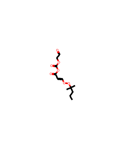 CCCC(C)(C)OOC=CC(=O)OC(=O)OCC=O